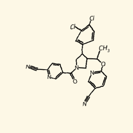 CC(Oc1ccc(C#N)cn1)C1CN(C(=O)c2ccc(C#N)nc2)CC1c1ccc(Cl)c(Cl)c1